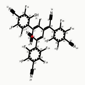 CC(=C(C#N)c1c(F)c(F)c(C#N)c(F)c1S)C(/C=C(\C#N)c1c(F)c(F)c(C#N)c(F)c1F)=C(\C#N)c1c(F)c(F)c(C#N)c(F)c1F